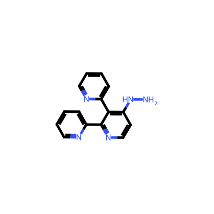 NNc1ccnc(-c2ccccn2)c1-c1ccccn1